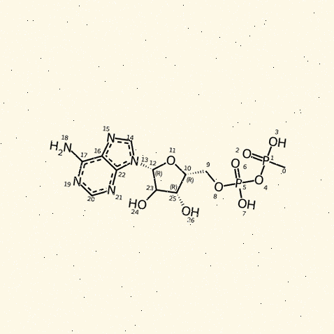 CP(=O)(O)OP(=O)(O)OC[C@H]1O[C@@H](n2cnc3c(N)ncnc32)C(O)[C@H]1O